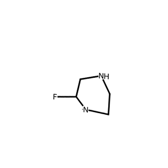 FC1CNCC[N]1